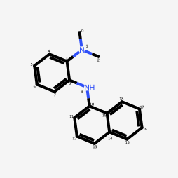 CN(C)c1ccccc1Nc1cccc2ccccc12